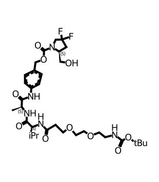 CC(C)[C@H](NC(=O)CCOCCOCCNC(=O)OC(C)(C)C)C(=O)N[C@@H](C)C(=O)Nc1ccc(COC(=O)N2CC(F)(F)C[C@H]2CO)cc1